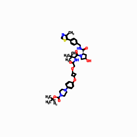 Cc1ncsc1-c1ccc(CNC(=O)[C@@H]2C[C@@H](O)CN2C(=O)[C@@H](NC(=O)COC2CC(Oc3ccc(N4CCN(C(=O)OC(C)(C)C)CC4)cc3)C2)C(C)(C)C)cc1